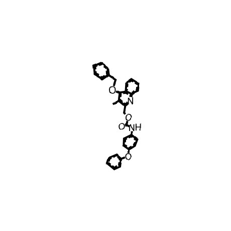 Cc1c(COC(=O)Nc2ccc(Oc3ccccc3)cc2)nc2ccccc2c1OCc1ccccc1